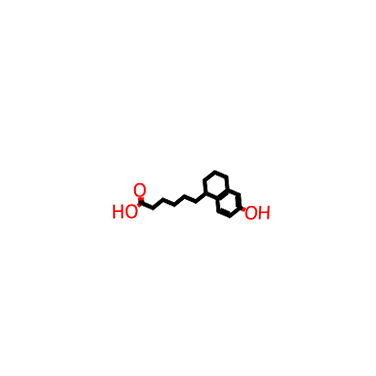 O=C(O)CCCCCC1CCCc2cc(O)ccc21